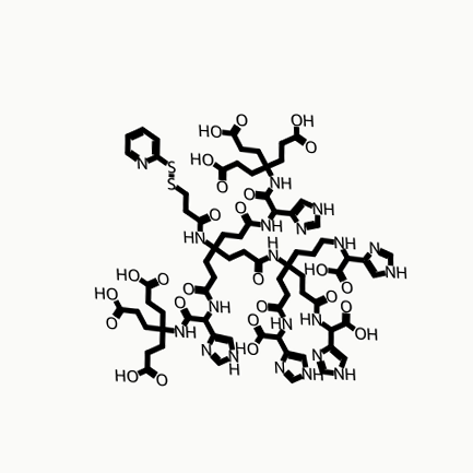 O=C(O)CCC(CCC(=O)O)(CCC(=O)O)NC(=O)C(NC(=O)CCC(CCC(=O)NC(C(=O)NC(CCC(=O)O)(CCC(=O)O)CCC(=O)O)c1c[nH]cn1)(CCC(=O)NC(CCCNC(C(=O)O)c1c[nH]cn1)(CCC(=O)NC(C(=O)O)c1c[nH]cn1)CCC(=O)NC(C(=O)O)c1c[nH]cn1)NC(=O)CCSSc1ccccn1)c1c[nH]cn1